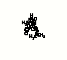 Cc1c(-c2c3c(N)n[nH]c(=O)c3nn2C2CN(CCN(C)C)C2)oc2ccc(Cl)cc12